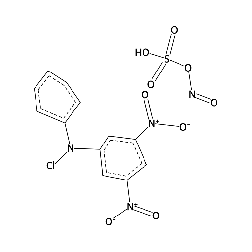 O=NOS(=O)(=O)O.O=[N+]([O-])c1cc(N(Cl)c2ccccc2)cc([N+](=O)[O-])c1